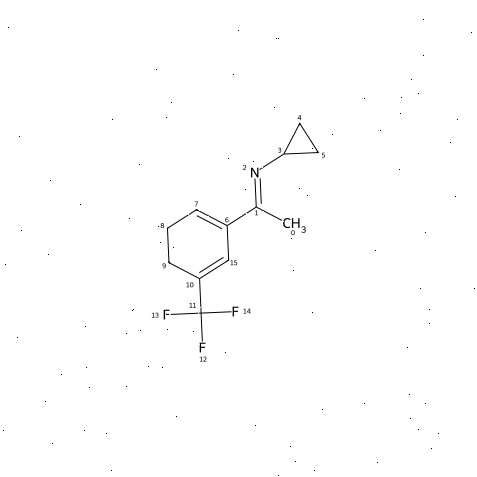 CC(=NC1CC1)C1=CCCC(C(F)(F)F)=C1